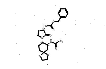 CC(=O)N[C@@H]1CC2(CC[C@@H]1N1CC[C@H](NC(=O)OCc3ccccc3)C1=O)OCCO2